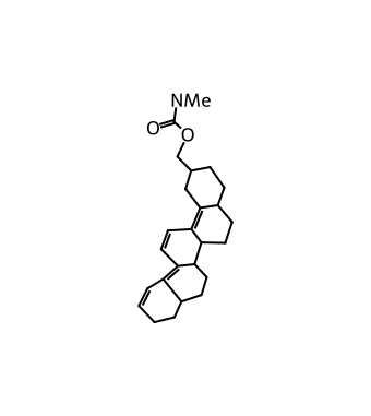 CNC(=O)OCC1CCC2CCC3C(=C2C1)C=CC1=C2C=CCCC2CCC13